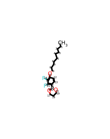 CCCCCCCCCCOc1ccc(B2OCCCO2)c(F)c1F